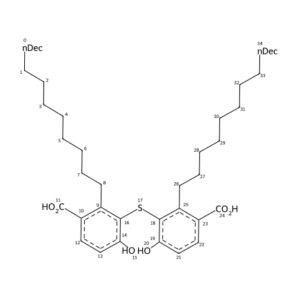 CCCCCCCCCCCCCCCCCCc1c(C(=O)O)ccc(O)c1Sc1c(O)ccc(C(=O)O)c1CCCCCCCCCCCCCCCCCC